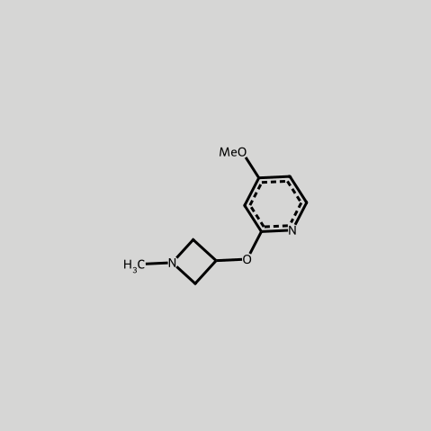 COc1ccnc(OC2CN(C)C2)c1